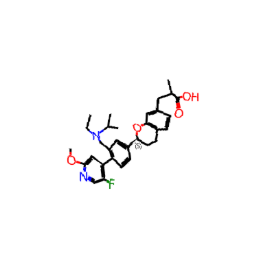 CCN(Cc1cc([C@@H]2CCc3ccc(CC(C)C(=O)O)cc3O2)ccc1-c1cc(OC)ncc1F)C(C)C